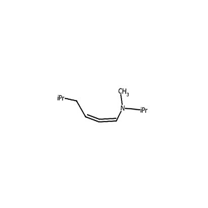 CC(C)CC=C=CN(C)C(C)C